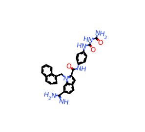 N=C(N)c1ccc2cc(C(=O)Nc3ccc(NC(=O)NC(N)=O)cc3)n(Cc3cccc4ccccc34)c2c1